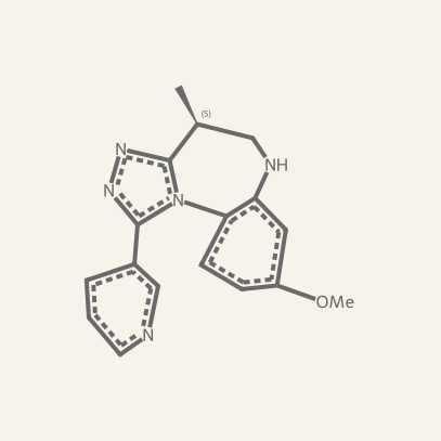 COc1ccc2c(c1)NC[C@H](C)c1nnc(-c3cccnc3)n1-2